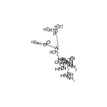 CCCCCCCCCCCOC(=O)CCCCCN(CCCCCCCC(=O)OC(CCCCCCCC)CCCCCCCC)CC(O)CCCCNC(=O)[C@H](Cc1cnc[nH]1)NC(=O)[C@H](Cc1cnc[nH]1)NC(=O)[C@H](N)CCCNC(=N)N